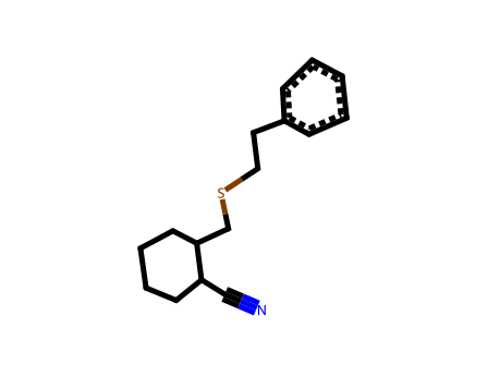 N#CC1CCCCC1CSCCc1ccccc1